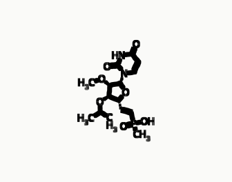 CO[C@@H]1[C@H](OC(C)C)[C@@H](/C=C/P(C)(=O)O)O[C@H]1n1ccc(=O)[nH]c1=O